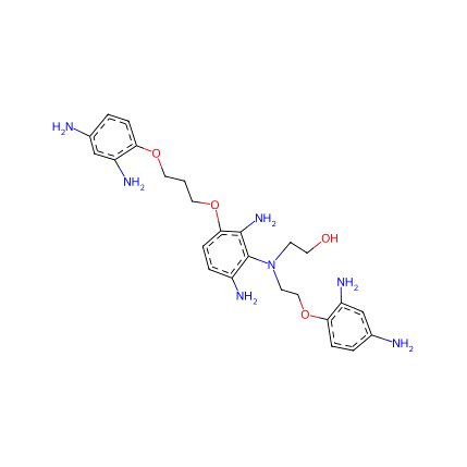 Nc1ccc(OCCCOc2ccc(N)c(N(CCO)CCOc3ccc(N)cc3N)c2N)c(N)c1